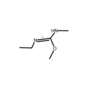 CC/N=C(/NC)OC